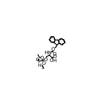 CCOC(OCC)(OCC(NC(=O)OCC1c2ccccc2-c2ccccc21)C(=O)O)[PH2]=O